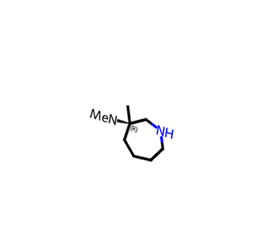 CN[C@]1(C)CCCCNC1